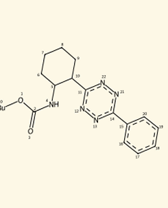 CC(C)(C)OC(=O)NC1CCCCC1c1nnc(-c2ccccc2)nn1